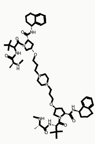 CN[C@@H](C)C(=O)NC(C(=O)N1C[C@@H](OCCCN2CCN(CCCO[C@H]3C[C@@H](C(=O)N[C@@H]4CCCc5ccccc54)N(C(=O)[C@@H](NC(=O)[C@H](C)NC)C(C)(C)C)C3)CC2)C[C@H]1C(=O)N[C@@H]1CCCc2ccccc21)C(C)(C)C